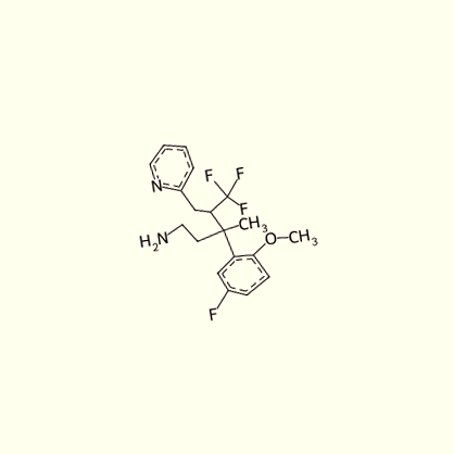 COc1ccc(F)cc1C(C)(CCN)C(Cc1ccccn1)C(F)(F)F